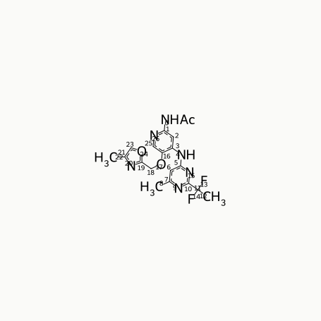 CC(=O)Nc1cc(Nc2cc(C)nc(C(C)(F)F)n2)c(OCc2nc(C)co2)cn1